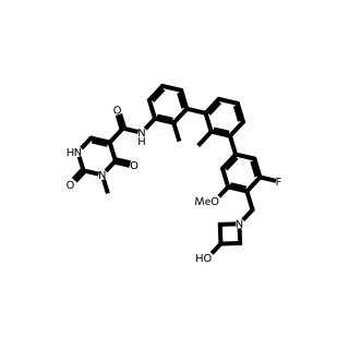 COc1cc(-c2cccc(-c3cccc(NC(=O)c4c[nH]c(=O)n(C)c4=O)c3C)c2C)cc(F)c1CN1CC(O)C1